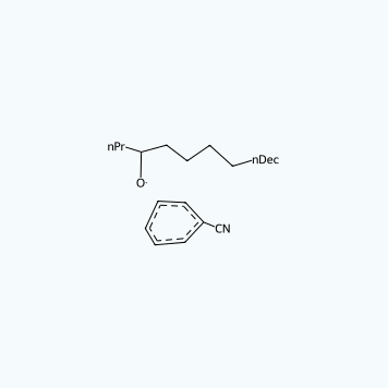 CCCCCCCCCCCCCCC([O])CCC.N#Cc1ccccc1